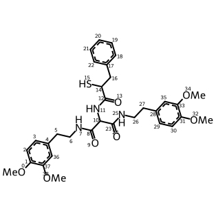 COc1ccc(CCNC(=O)C(NC(=O)C(S)Cc2ccccc2)C(=O)NCCc2ccc(OC)c(OC)c2)cc1OC